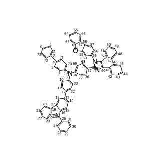 c1ccc(-c2ccc(N(c3ccc(-c4ccc5c(c4)c4ccccc4n5-c4ccccc4)cc3)c3ccc(-c4nc5c6ccccc6c6ccccc6c5n4-c4ccc5c(c4)oc4ccccc45)cc3)cc2)cc1